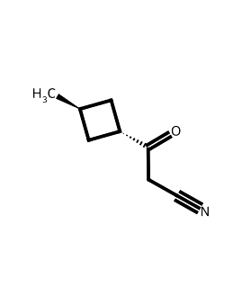 C[C@H]1C[C@H](C(=O)CC#N)C1